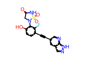 O=C1CN(c2c(O)ccc(C#Cc3cnc4[nH]ncc4c3)c2F)S(=O)(=O)N1